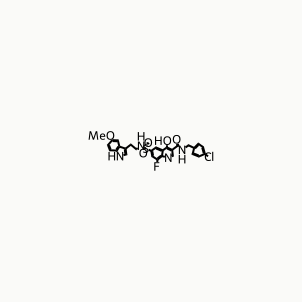 COc1ccc2[nH]cc(CCNS(=O)(=O)c3cc(F)c4ncc(C(=O)NCc5ccc(Cl)cc5)c(O)c4c3)c2c1